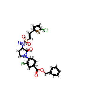 O=C(OCc1ccccc1)c1ccc(N2CCC(NS(=O)(=O)/C=C/c3ccc(Cl)s3)C2=O)c(F)c1